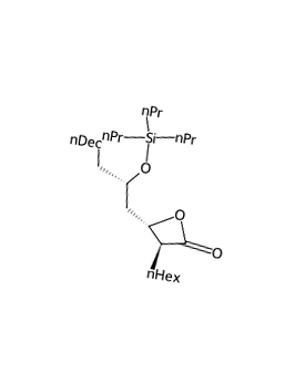 CCCCCCCCCCC[C@@H](C[C@@H]1OC(=O)[C@H]1CCCCCC)O[Si](CCC)(CCC)CCC